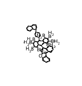 Bc1c(B)c(B)c2c(-c3cc4oc5ccccc5c4c4ccccc34)c3c(B)c(B)c(B)c(B)c3c(-c3ccc(-c4cccc5ccccc45)cc3)c2c1B